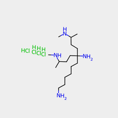 CNC(C)CCC(N)(CCCCCCN)CCC(C)NC.Cl.Cl.Cl.Cl